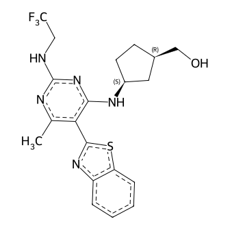 Cc1nc(NCC(F)(F)F)nc(N[C@H]2CC[C@@H](CO)C2)c1-c1nc2ccccc2s1